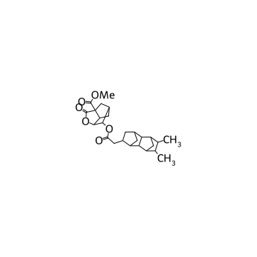 COC(=O)C12CC3CC1C(OC2=O)C3OC(=O)CC1CC2CC1C1C3CC(C(C)C3C)C21